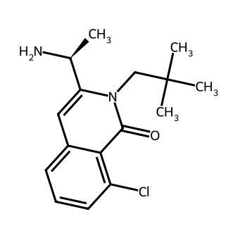 C[C@H](N)c1cc2cccc(Cl)c2c(=O)n1CC(C)(C)C